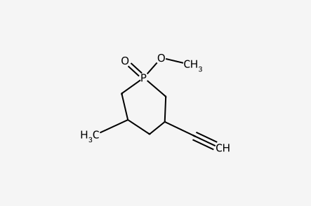 C#CC1CC(C)CP(=O)(OC)C1